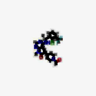 CC(=O)N1CC=C(c2cc3c(N[C@H](C)c4cccc(C(F)F)c4Cl)ncnc3n(C)c2=O)CC1